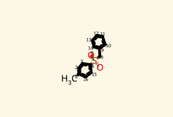 Cc1ccc(S(=O)(=O)[CH]c2ccccc2)cc1